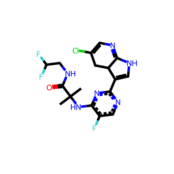 CC(C)(Nc1nc(C2=CNC3=NC=C(Cl)CC23)ncc1F)C(=O)NCC(F)F